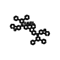 C[Si]1(C)c2cc(N(c3cc(-c4ccccc4)cc(-c4ccccc4)c3)c3ccc4oc5ccccc5c4c3)ccc2-c2cc3ccc(N(c4cc(-c5ccccc5)cc(-c5ccccc5)c4)c4ccc5oc6ccccc6c5c4)cc3c3cccc1c23